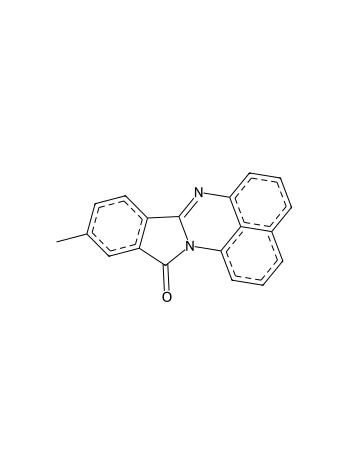 Cc1ccc2c(c1)C(=O)N1C2=Nc2cccc3cccc1c23